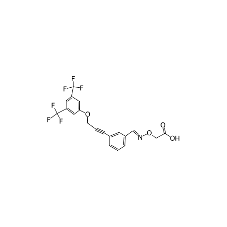 O=C(O)CON=Cc1cccc(C#CCOc2cc(C(F)(F)F)cc(C(F)(F)F)c2)c1